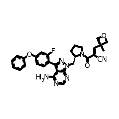 CC1(C=C(C#N)C(=O)N2CCC[C@@H]2Cn2nc(-c3ccc(Oc4ccccc4)cc3F)c3c(N)ncnc32)COC1